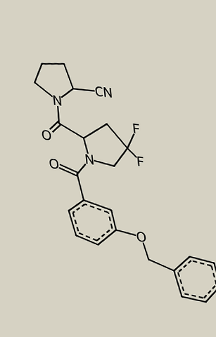 N#CC1CCCN1C(=O)C1CC(F)(F)CN1C(=O)c1cccc(OCc2ccccc2)c1